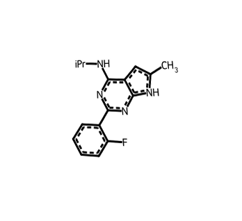 Cc1cc2c(NC(C)C)nc(-c3ccccc3F)nc2[nH]1